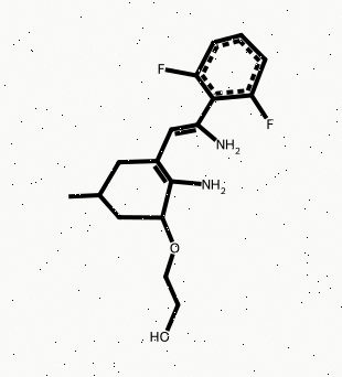 CC1CC(/C=C(\N)c2c(F)cccc2F)=C(N)C(OCCO)C1